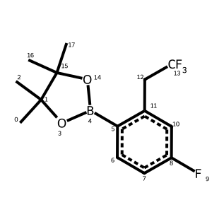 CC1(C)OB(c2ccc(F)cc2CC(F)(F)F)OC1(C)C